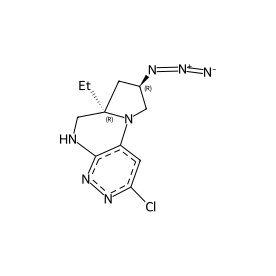 CC[C@@]12CNc3nnc(Cl)cc3N1C[C@H](N=[N+]=[N-])C2